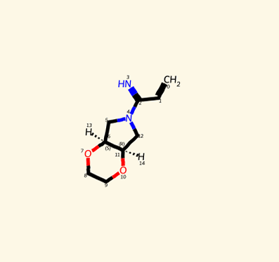 C=CC(=N)N1C[C@@H]2OCCO[C@@H]2C1